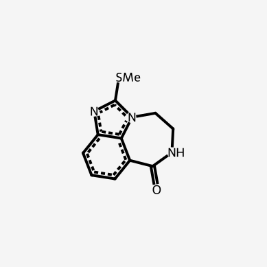 CSc1nc2cccc3c2n1CCNC3=O